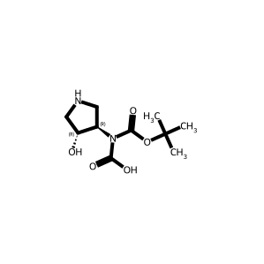 CC(C)(C)OC(=O)N(C(=O)O)[C@@H]1CNC[C@H]1O